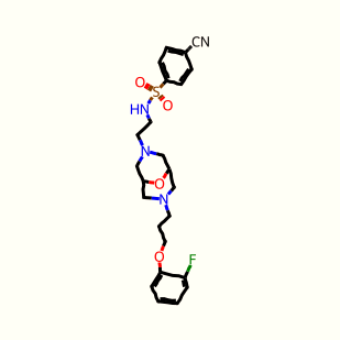 N#Cc1ccc(S(=O)(=O)NCCN2CC3CN(CCCOc4ccccc4F)CC(C2)O3)cc1